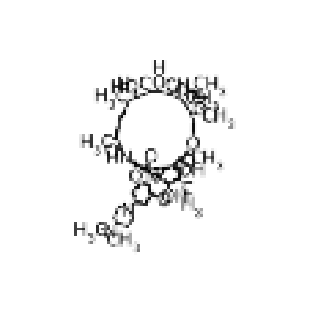 CO[C@H]1/C=C\O[C@@]2(C)Oc3c(C)c(O)c4c(=O)c(c5oc6cc(N7CCC(N(C)C)CC7)cc(=O)c6nc5c4c3=C2O)NC(=O)/C(C)=C/C=C/[C@H](C)[C@H](O)[C@@H](C)[C@@H](O)[C@@H](C)[C@H](OC(C)=O)[C@@H]1C